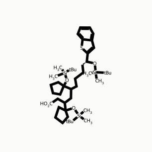 CC(C)(C)[Si](C)(C)O[C@H](CCCCC(CC(CC(=O)O)C1(O[Si](C)(C)C(C)(C)C)CCCC1)C1(O[Si](C)(C)C(C)(C)C)CCCC1)c1cc2ccccc2s1